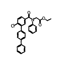 CCOC(=O)CN(C(=O)c1ccc(Cl)c(-c2ccc(-c3ccccc3)cc2)c1)c1ccccc1